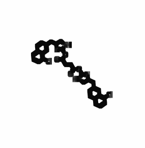 O=C(/C=C/C(=O)OC1=NC(Cc2ccc3cccc(Cl)c3c2)CN1)OC1=NC(Cc2ccc3cccc(Cl)c3c2)CN1